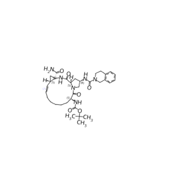 CC(C)(C)OC(=O)N[C@H]1CCCCC/C=C\[C@@H]2C[C@@]2(C(N)=O)NC(=O)[C@@H]2C[C@@H](NC(=O)N3CCc4ccccc4C3)CN2C1=O